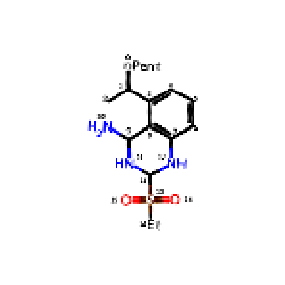 CCCCCC(C)c1cccc2c1C(N)NC(S(=O)(=O)CC)N2